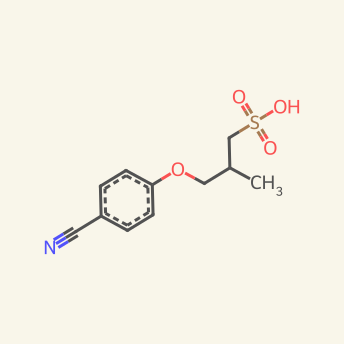 CC(COc1ccc(C#N)cc1)CS(=O)(=O)O